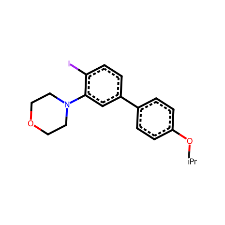 CC(C)Oc1ccc(-c2ccc(I)c(N3CCOCC3)c2)cc1